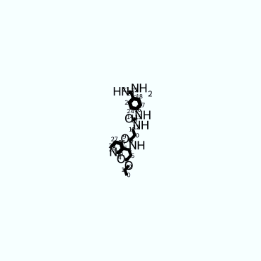 CCOC(=O)CC(NC(=O)CCNC(=O)Nc1ccc(C(=N)N)cc1)c1cccnc1